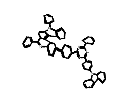 c1ccc(-c2nc(-c3ccc(-c4ccc5nc(-c6ccccc6)c6ccc7c(c8ccccc8n7-c7ccccc7)c6c5c4)cc3)nc(-c3ccc(-n4c5ccccc5c5ccccc54)cc3)n2)cc1